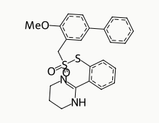 COc1ccc(-c2ccccc2)cc1CS(=O)(=O)Sc1ccccc1C1=NCCCN1